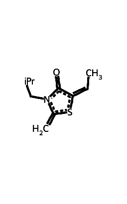 C=c1s/c(=C/C)c(=O)n1CC(C)C